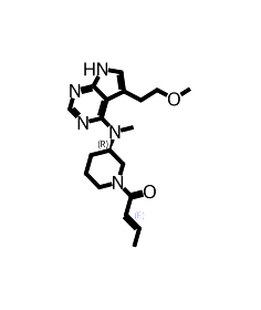 C/C=C/C(=O)N1CCC[C@@H](N(C)c2ncnc3[nH]cc(CCOC)c23)C1